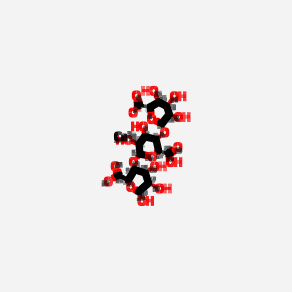 O=C([O-])[C@H]1O[C@@H](O[C@H]2[C@H](O)[C@H](O)[C@H](O[C@H]3[C@H](O)[C@H](O)[C@H](O)O[C@H]3C(=O)[O-])O[C@H]2C(=O)O)[C@@H](O)[C@@H](O)[C@@H]1O.[Ca+2]